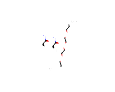 C=CC(N)=O.C=CC(N)=O.COCCOCCOCCOCCOC